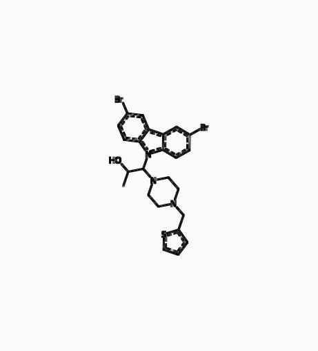 CC(O)C(N1CCN(Cc2cccs2)CC1)n1c2ccc(Br)cc2c2cc(Br)ccc21